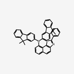 CC1(C)c2ccccc2-c2cc(N(c3ccc4c(c3)C(C)(C)c3ccccc3-4)c3cccc4ccc5nc(-c6ccccc6)oc5c34)ccc21